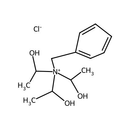 CC(O)[N+](Cc1ccccc1)(C(C)O)C(C)O.[Cl-]